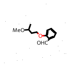 COC(C)CCOc1ccccc1C=O